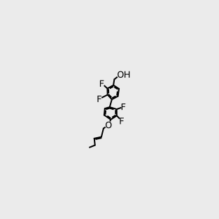 CCC=CCOc1ccc(-c2ccc(CO)c(F)c2F)c(F)c1F